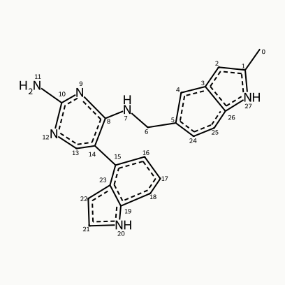 Cc1cc2cc(CNc3nc(N)ncc3-c3cccc4[nH]ccc34)ccc2[nH]1